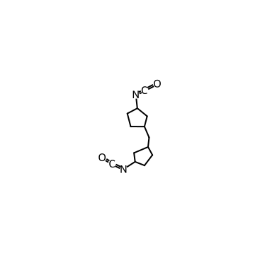 O=C=NC1CCC(CC2CCC(N=C=O)C2)C1